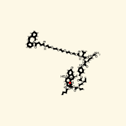 CCCC1O[C@@H]2C[C@H]3[C@@H]4C[C@H](F)C5=CC(=O)C=CC5[C@@]4(F)[C@@H](O)C[C@]3(C)[C@]2(C(=O)COC(=O)N(CC)CCN(CC)C(=O)OCc2ccc(NC(=O)[C@H](CCCNC(N)=O)NC(=O)[C@@H](NC(=O)CCOCCOCCOCCOCCNC(=O)CCC(=O)N3Cc4ccccc4C#Cc4ccccc43)C(C)C)cc2)O1